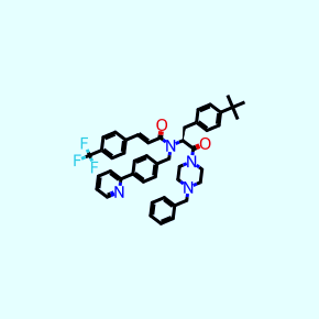 CC(C)(C)c1ccc(C[C@@H](C(=O)N2CCN(Cc3ccccc3)CC2)N(Cc2ccc(-c3ccccn3)cc2)C(=O)/C=C/c2ccc(C(F)(F)F)cc2)cc1